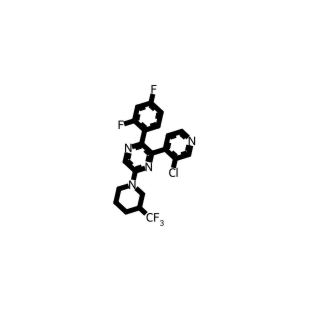 Fc1ccc(-c2ncc(N3CCCC(C(F)(F)F)C3)nc2-c2ccncc2Cl)c(F)c1